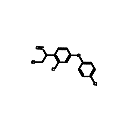 O=CC(CCl)c1ccc(Oc2ccc(Cl)cc2)cc1Cl